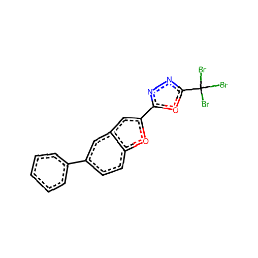 BrC(Br)(Br)c1nnc(-c2cc3cc(-c4ccccc4)ccc3o2)o1